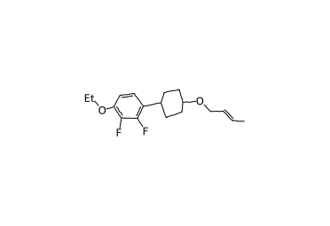 CC=CCOC1CCC(c2ccc(OCC)c(F)c2F)CC1